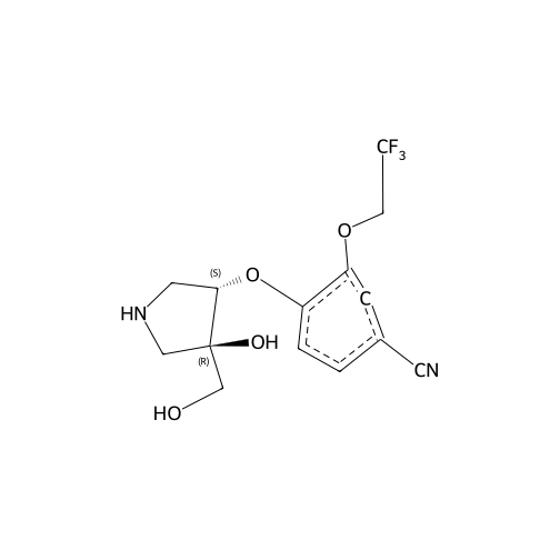 N#Cc1ccc(O[C@H]2CNC[C@@]2(O)CO)c(OCC(F)(F)F)c1